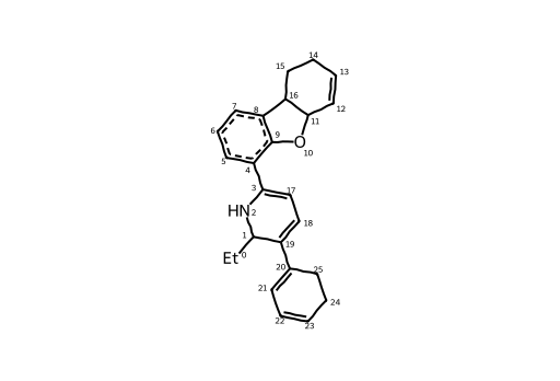 CCC1NC(c2cccc3c2OC2C=CCCC32)=CC=C1C1=CC=CCC1